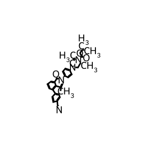 Cc1cn(-c2ccc(N3CC(C)N(C(=O)OC(C)C)C(C)C3)cc2)c(=O)c2cccc(-c3ccc(C#N)cc3)c12